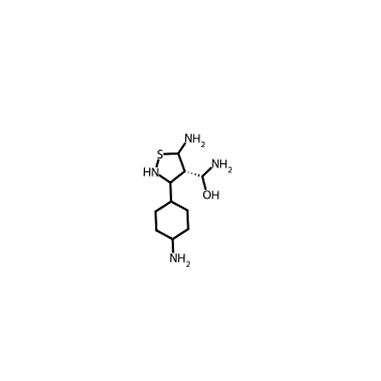 NC1CCC(C2NSC(N)[C@@H]2C(N)O)CC1